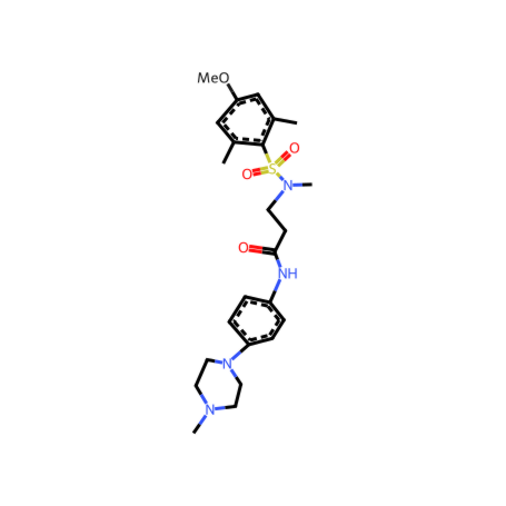 COc1cc(C)c(S(=O)(=O)N(C)CCC(=O)Nc2ccc(N3CCN(C)CC3)cc2)c(C)c1